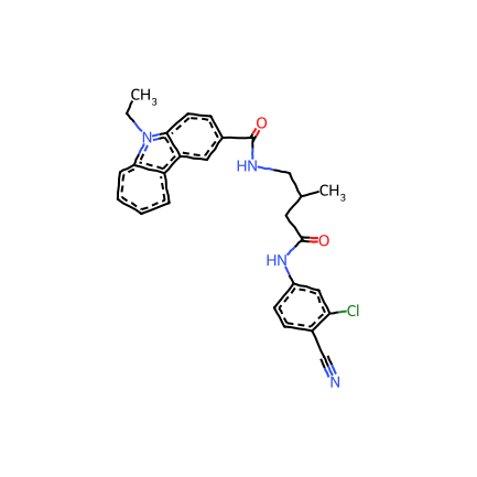 CCn1c2ccccc2c2cc(C(=O)NCC(C)CC(=O)Nc3ccc(C#N)c(Cl)c3)ccc21